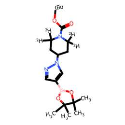 [2H]C1([2H])CC(n2cc(B3OC(C)(C)C(C)(C)O3)cn2)CC([2H])([2H])N1C(=O)OC(C)(C)C